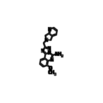 COc1cccc2c1nc(N)n1nc(CN3Cc4cccnc4C3)nc21